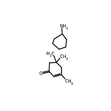 CC1=CC(=O)CC(C)(C)C1.NC1CCCCC1